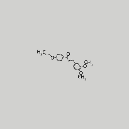 C=CCOc1ccc(C(=O)C=Cc2ccc(OC)c(OC)c2)cc1